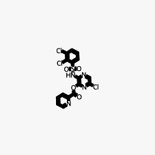 O=C(Oc1nc(Cl)cnc1NS(=O)(=O)c1cccc(Cl)c1Cl)c1ccccn1